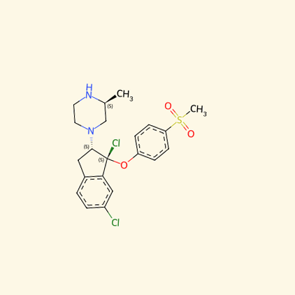 C[C@H]1CN([C@H]2Cc3ccc(Cl)cc3[C@@]2(Cl)Oc2ccc(S(C)(=O)=O)cc2)CCN1